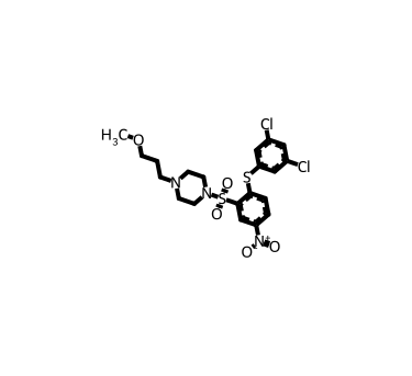 COCCCN1CCN(S(=O)(=O)c2cc([N+](=O)[O-])ccc2Sc2cc(Cl)cc(Cl)c2)CC1